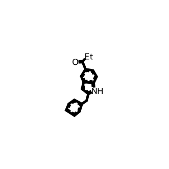 CCC(=O)c1ccc2[nH]c(Cc3ccccc3)cc2c1